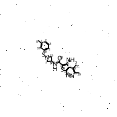 Cc1cccc(SN2CC(NC(=O)c3sc4nnc(C)c(C)c4c3N)C2)c1